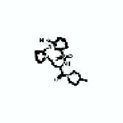 CC1CCN(C(=O)C(CCn2cccc2C#N)NS(=O)(=O)c2cccc(N)c2)CC1